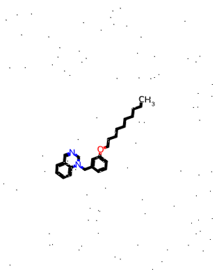 CCCCCCCCCCOc1cccc(CN2CN=Cc3ccccc32)c1